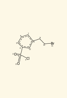 O=S(=O)(Cl)c1cccc(CCBr)c1